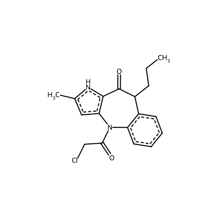 CCCC1C(=O)c2[nH]c(C)cc2N(C(=O)CCl)c2ccccc21